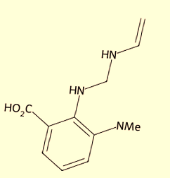 C=CNCNc1c(NC)cccc1C(=O)O